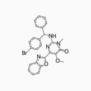 COc1c(-c2nc3ccccc3o2)nc(NC(c2ccccc2)c2ccc(Br)cc2)n(C)c1=O